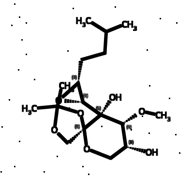 CO[C@@H]1[C@H](O)CO[C@]2(COC(C)(C)O2)[C@@]1(O)[C@@H]1O[C@@H]1CCC(C)C